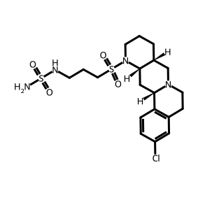 NS(=O)(=O)NCCCS(=O)(=O)N1CCC[C@@H]2CN3CCc4cc(Cl)ccc4[C@@H]3C[C@@H]21